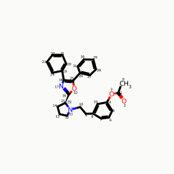 CC(=O)Oc1cccc(CCN2CCC[C@H]2c2nc(-c3ccccc3)c(-c3ccccc3)o2)c1